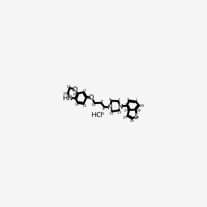 Cl.c1cc(N2CCN(CCCOc3ccc4c(c3)OCCN4)CC2)c2ccsc2c1